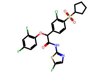 O=C(Nc1ncc(F)s1)C(Oc1ccc(F)cc1F)c1ccc(S(=O)(=O)C2CCCC2)c(Cl)c1